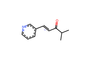 CC(C)C(=O)/C=C/c1cccnc1